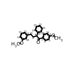 COc1ccc(C(=O)C(CCc2cccc(OC)c2)c2ccccc2)cc1